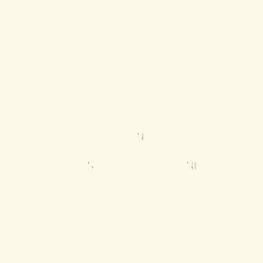 CCC1CNCCN1c1ccccc1[N+](=O)[O-]